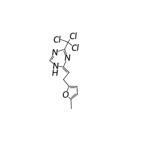 Cc1ccc(CC=C2N=C(C(Cl)(Cl)Cl)N=CN2)o1